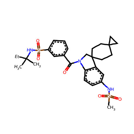 CCC(C)(C)NS(=O)(=O)c1cccc(C(=O)N2CC3(CCC4(CC4)CC3)c3cc(NS(C)(=O)=O)ccc32)c1